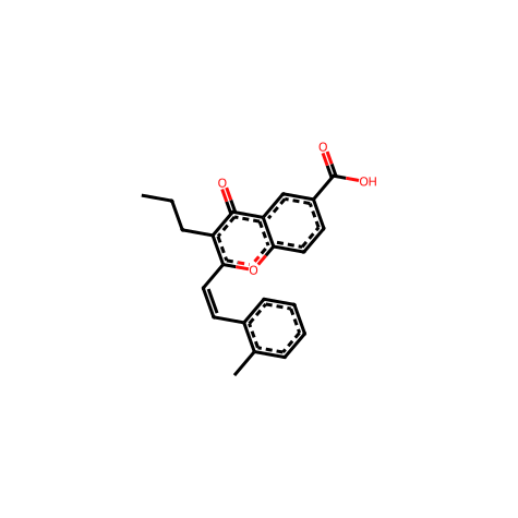 CCCc1c(/C=C\c2ccccc2C)oc2ccc(C(=O)O)cc2c1=O